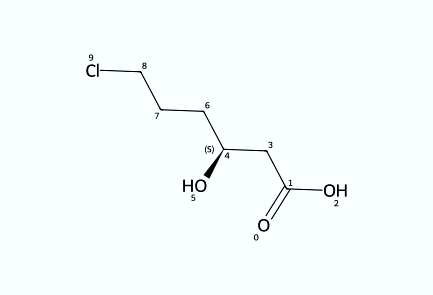 O=C(O)C[C@@H](O)CCCCl